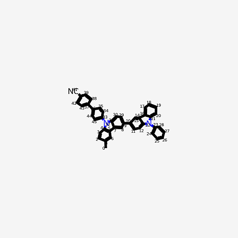 Cc1ccc2c(c1)c1cc(-c3ccc4c(c3)c3ccccc3n4-c3ccccc3)ccc1n2-c1ccc(-c2ccc(C#N)cc2)cc1